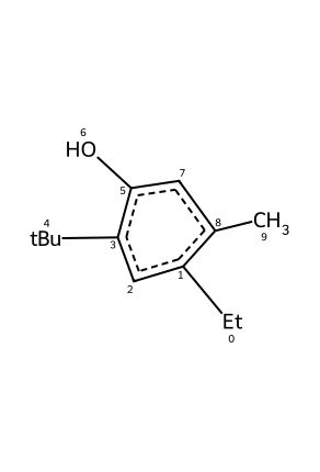 CCc1cc(C(C)(C)C)c(O)cc1C